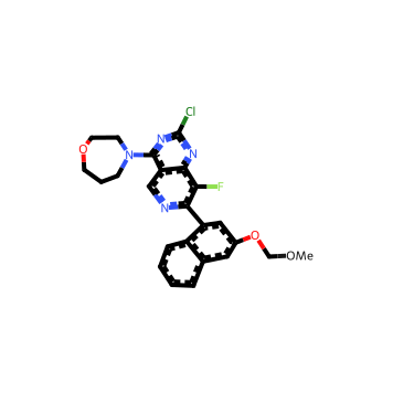 COCOc1cc(-c2ncc3c(N4CCCOCC4)nc(Cl)nc3c2F)c2ccccc2c1